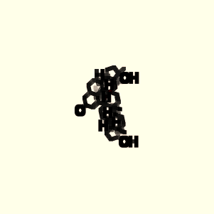 CC1(O)CC[C@H]2[C@@H]3CCC4CC(=O)C=C(C56CCC=C[C@]5(C)[C@@H]5CC[C@]7(C)C(O)CC[C@H]7[C@@H]5CC6)[C@]4(C)[C@@H]3CC[C@@]21C